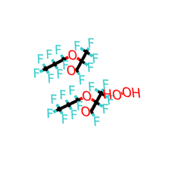 O=C(F)C(F)(OC(F)(F)C(F)(F)C(F)(F)F)C(F)(F)F.O=C(F)C(F)(OC(F)(F)C(F)(F)C(F)(F)F)C(F)(F)F.OO